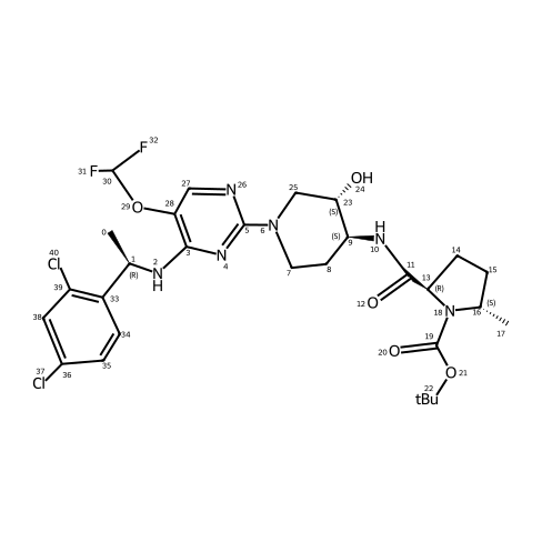 C[C@@H](Nc1nc(N2CC[C@H](NC(=O)[C@H]3CC[C@H](C)N3C(=O)OC(C)(C)C)[C@@H](O)C2)ncc1OC(F)F)c1ccc(Cl)cc1Cl